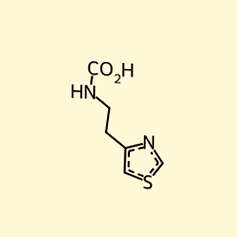 O=C(O)NCCc1cscn1